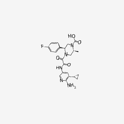 C[C@H]1CN(C(=O)C(=O)Nc2cnc(N)c(C3CC3)c2)[C@@H](c2ccc(F)cc2)CN1C(=O)O